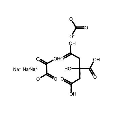 O=C(O)CC(O)(CC(=O)O)C(=O)O.O=C([O-])C(=O)O.O=C([O-])[O-].[Na+].[Na+].[Na+]